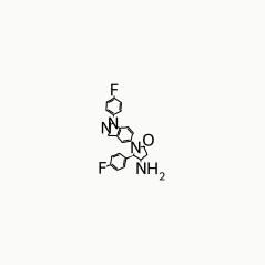 N[C@H]1CC(=O)N(c2ccc3c(cnn3-c3ccc(F)cc3)c2)[C@@H]1c1ccc(F)cc1